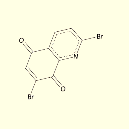 O=C1C=C(Br)C(=O)c2nc(Br)ccc21